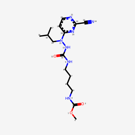 COC(=O)NCCCCNC(=O)NN(CC(C)C)c1ccnc(C#N)n1